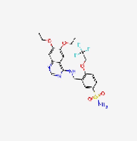 CCOc1cc2ncnc(NCc3cc(S(N)(=O)=O)ccc3OCC(F)(F)F)c2cc1OCC